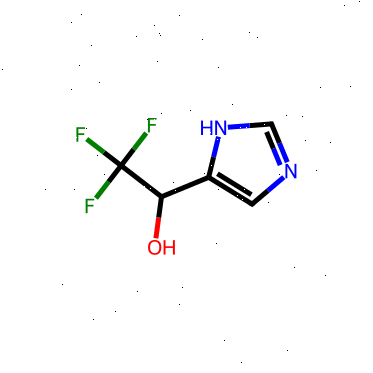 OC(c1cnc[nH]1)C(F)(F)F